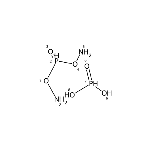 NO[PH](=O)ON.O=[PH](O)O